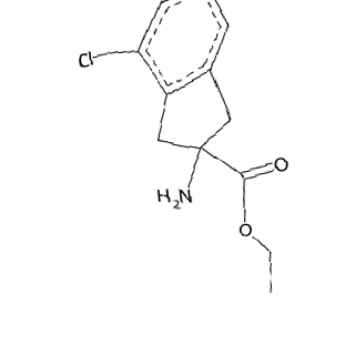 CCOC(=O)C1(N)Cc2cccc(Cl)c2C1